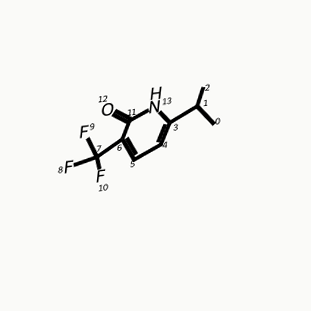 CC(C)c1ccc(C(F)(F)F)c(=O)[nH]1